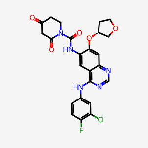 O=C1CCN(C(=O)Nc2cc3c(Nc4ccc(F)c(Cl)c4)ncnc3cc2O[C@H]2CCOC2)C(=O)C1